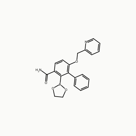 NC(=O)c1ccc(OCc2ccccn2)c(-c2ccccc2)c1B1OCCO1